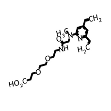 C=Cc1cc(C=C)nc(N(C)CC(=O)NCCOCCOCCC(=O)O)c1